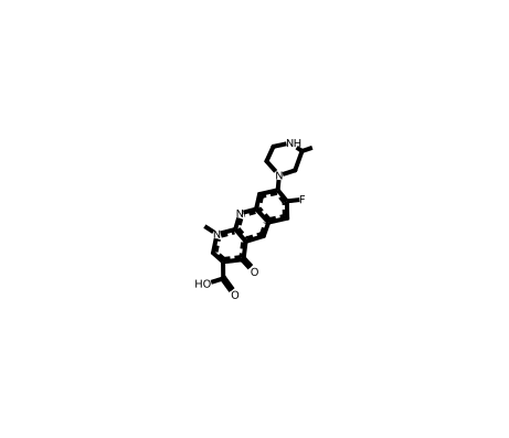 CC1CN(c2cc3nc4c(cc3cc2F)c(=O)c(C(=O)O)cn4C)CCN1